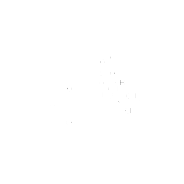 CO[Si](CCCOCC1CO1)(OC)OC.C[Si](C)(C)CCC1CCC2OC2C1